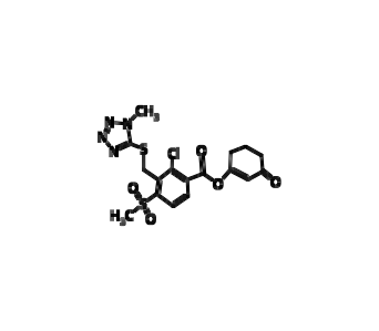 Cn1nnnc1SCc1c(S(C)(=O)=O)ccc(C(=O)OC2=CC(=O)CCC2)c1Cl